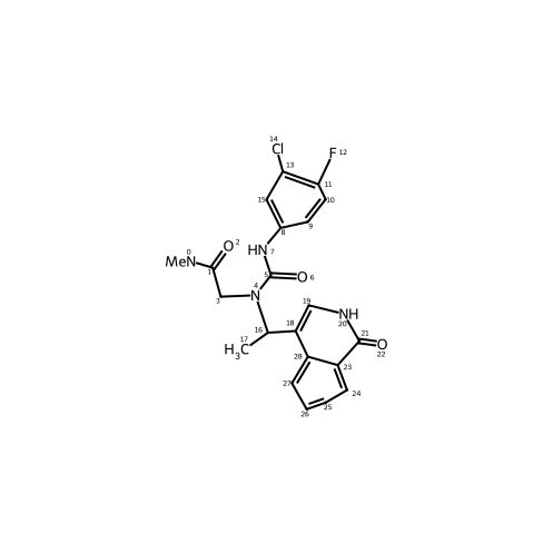 CNC(=O)CN(C(=O)Nc1ccc(F)c(Cl)c1)C(C)c1c[nH]c(=O)c2ccccc12